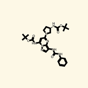 CC(C)(C)OC(=O)Nc1cc(N2CC[C@H](NC(=O)OC(C)(C)C)C2)nc2c(NC(=O)Nc3ccccc3)cnn12